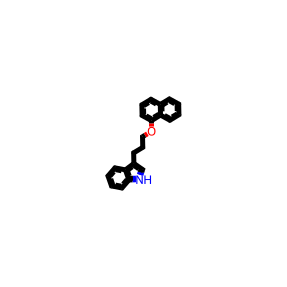 c1ccc2c(OCCCc3c[nH]c4ccccc34)cccc2c1